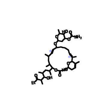 CCC(=O)C(C)C(O)C(C)CC(C)C1OC(=O)CC2(O)CC=C(C)C(O2)/C(C)=C/CCCC(OC2CC(OC(N)=O)C(O)C(C)O2)/C=C/C(C)CC1C